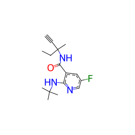 C#CC(C)(CC)NC(=O)c1cc(F)cnc1NC(C)(C)C